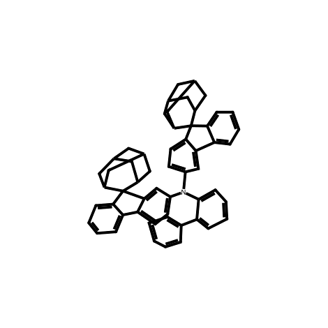 c1ccc(-c2ccccc2N(c2ccc3c(c2)-c2ccccc2C32C3CC4CC(C3)CC2C4)c2ccc3c(c2)C2(c4ccccc4-3)C3CC4CC(C3)CC2C4)cc1